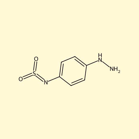 NNc1ccc(N=S(=O)=O)cc1